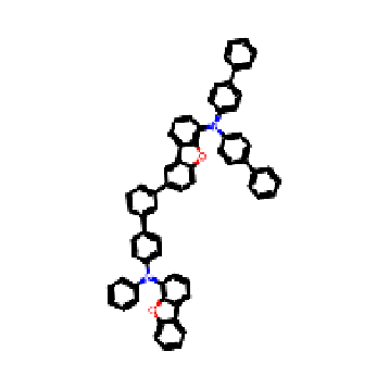 c1ccc(-c2ccc(N(c3ccc(-c4ccccc4)cc3)c3cccc4c3oc3ccc(-c5cccc(-c6ccc(N(c7ccccc7)c7cccc8c7oc7ccccc78)cc6)c5)cc34)cc2)cc1